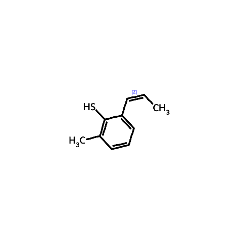 C/C=C\c1cccc(C)c1S